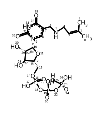 CC(C)=CCNCc1cn([C@@H]2O[C@H](COP(=O)(O)OP(=O)(O)OP(=O)(O)O)C(O)[C@@H]2O)c(=O)[nH]c1=O